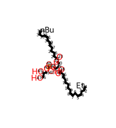 CC/C=C\C/C=C\C/C=C\CCCCCCCC(=O)O[C@H](COC(=O)CCCCCCC/C=C\C/C=C\CCCC)COP(=O)(O)OC[C@@H](O)CO